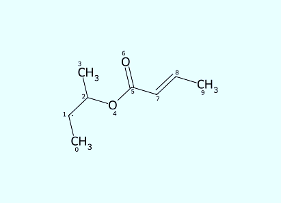 C[CH]C(C)OC(=O)C=CC